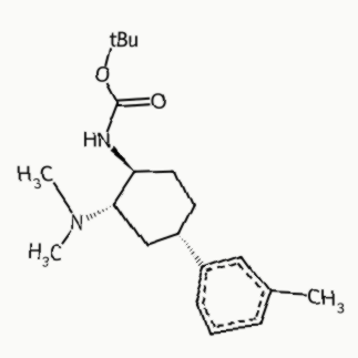 Cc1cccc([C@H]2CC[C@H](NC(=O)OC(C)(C)C)[C@@H](N(C)C)C2)c1